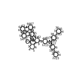 O=c1c2ccccc2c2cc(-c3ccc(N(c4ccc(-c5ccccc5)cc4)c4ccc(-c5ccccc5)cc4)cc3)cc3c4ccc5c(c4n1c23)-c1ccccc1C51c2ccccc2-c2ccccc21